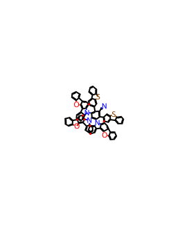 N#Cc1c(-c2ccc3c(c2)sc2ccccc23)c(-n2c3ccccc3c3c4oc5ccccc5c4ccc32)c(-n2c3ccccc3c3c4oc5ccccc5c4ccc32)c(-n2c3ccccc3c3c4oc5ccccc5c4ccc32)c1-c1ccc2c(c1)sc1ccccc12